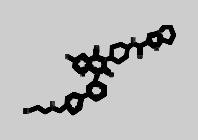 CC(C)CCNCc1ccc(-c2cccc(-n3c(=O)n(C4CCC(NC(=O)c5cn6c(n5)CCCC6)CC4)c(=O)c4cc(F)cnc43)c2)cc1